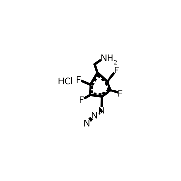 Cl.[N-]=[N+]=Nc1c(F)c(F)c(CN)c(F)c1F